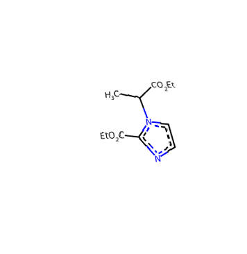 CCOC(=O)c1nccn1C(C)C(=O)OCC